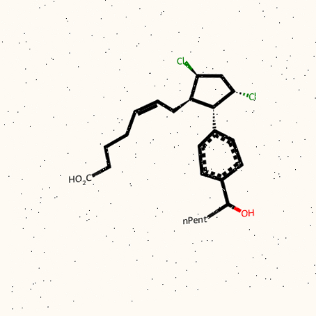 CCCCCC(O)c1ccc([C@@H]2[C@@H](C/C=C\CCCC(=O)O)[C@@H](Cl)C[C@@H]2Cl)cc1